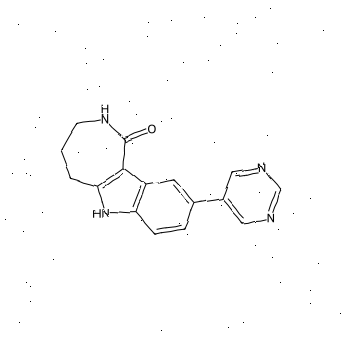 O=C1NCCCc2[nH]c3ccc(-c4cncnc4)cc3c21